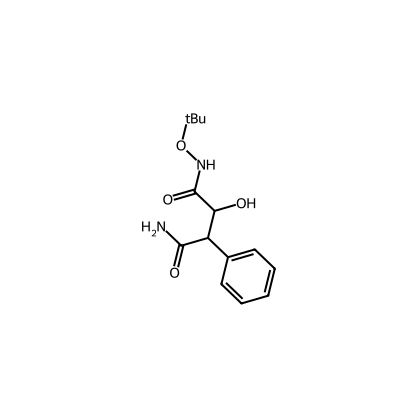 CC(C)(C)ONC(=O)C(O)C(C(N)=O)c1ccccc1